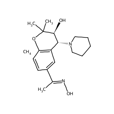 C.CC(=NO)c1ccc2c(c1)[C@@H](N1CCCCC1)[C@H](O)C(C)(C)O2